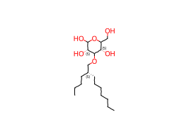 CCCCCCC[C@H](CCCC)COC1[C@H](O)C(O)OC(CO)[C@@H]1O